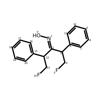 ON=C(C(CF)c1ccccc1)C(CF)c1ccccc1